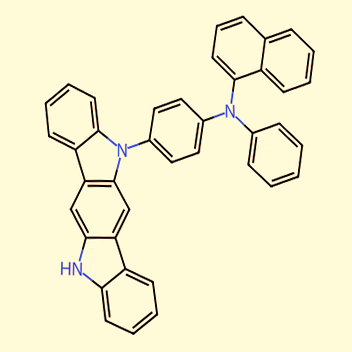 c1ccc(N(c2ccc(-n3c4ccccc4c4cc5[nH]c6ccccc6c5cc43)cc2)c2cccc3ccccc23)cc1